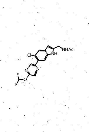 CC(=O)NCc1cc2cc(Cl)c(-c3cnc(OC(F)F)cn3)cc2[nH]1